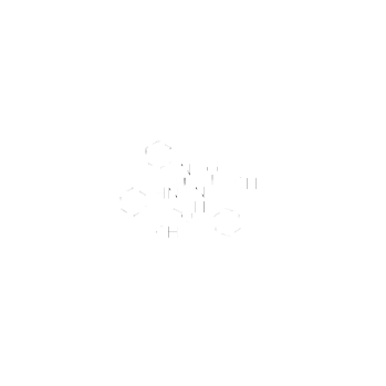 CC(C(=O)NC(=Nc1ccccc1)NC(=O)C(C)c1ccccc1)c1ccccc1